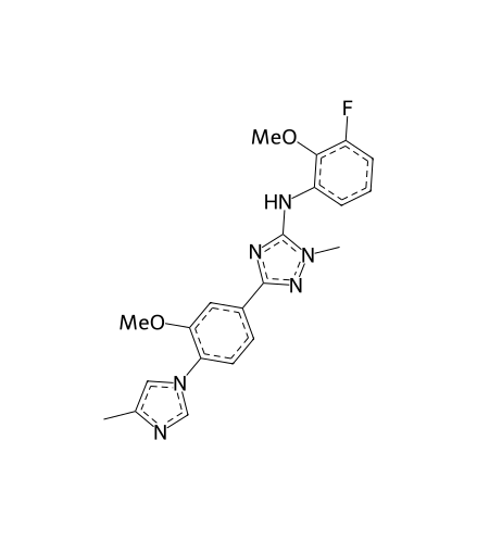 COc1cc(-c2nc(Nc3cccc(F)c3OC)n(C)n2)ccc1-n1cnc(C)c1